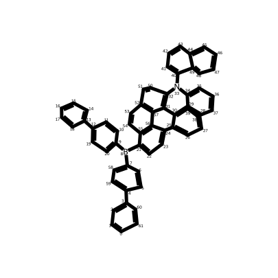 c1ccc(-c2ccc(B(c3ccc(-c4ccccc4)cc3)c3ccc4c5ccccc5c5c(N(c6ccccc6)c6cccc7ccccc67)ccc6ccc3c4c65)cc2)cc1